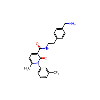 Cc1ccc(C(=O)NCCc2ccc(CN)cc2)c(=O)n1-c1cccc(C(F)(F)F)c1